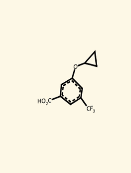 O=C(O)c1cc(OC2CC2)cc(C(F)(F)F)c1